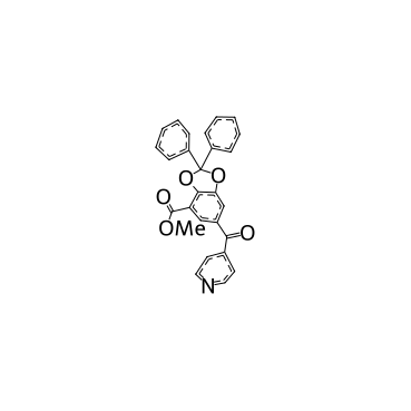 COC(=O)c1cc(C(=O)c2ccncc2)cc2c1OC(c1ccccc1)(c1ccccc1)O2